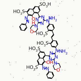 NN(c1ccc(C=Cc2ccc(N(N)c3nc(-c4cc(S(=O)(=O)O)cc5cc(S(=O)(=O)O)c(N=Nc6ccccc6)c(O)c45)nc(N4CCOCC4)n3)cc2S(=O)(=O)O)c(S(=O)(=O)O)c1)c1nc(-c2cc(S(=O)(=O)O)cc3cc(S(=O)(=O)O)c(N=Nc4ccccc4)c(O)c23)nc(N2CCOCC2)n1